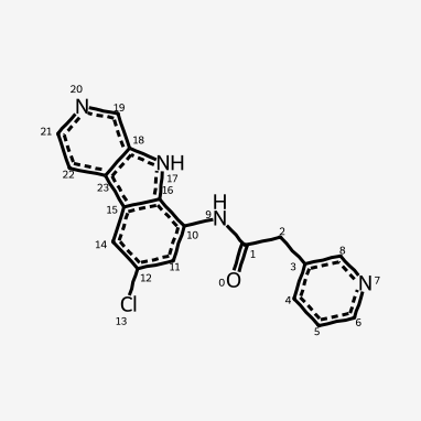 O=C(Cc1cccnc1)Nc1cc(Cl)cc2c1[nH]c1cnccc12